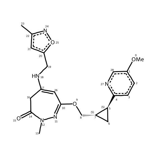 COc1ccc([C@H]2C[C@@H]2COC2=NN(C)C(=O)CC(NCc3cc(C)no3)=C2)nc1